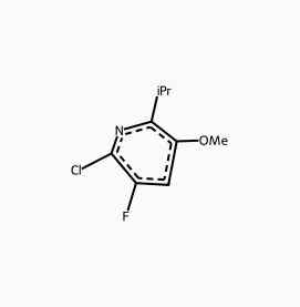 COc1cc(F)c(Cl)nc1C(C)C